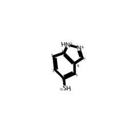 Sc1ccc2[nH]ncc2c1